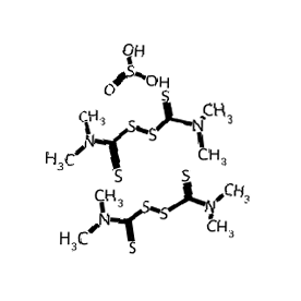 CN(C)C(=S)SSC(=S)N(C)C.CN(C)C(=S)SSC(=S)N(C)C.O=S(O)O